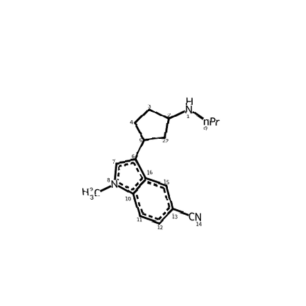 CCCNC1CCC(c2cn(C)c3ccc(C#N)cc23)C1